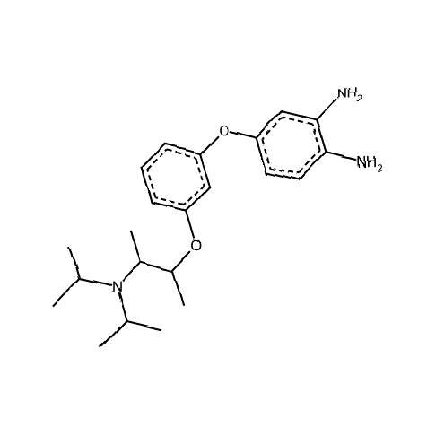 CC(Oc1cccc(Oc2ccc(N)c(N)c2)c1)C(C)N(C(C)C)C(C)C